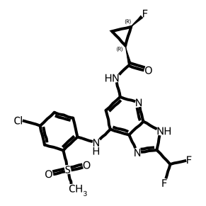 CS(=O)(=O)c1cc(Cl)ccc1Nc1cc(NC(=O)[C@H]2C[C@H]2F)nc2[nH]c(C(F)F)nc12